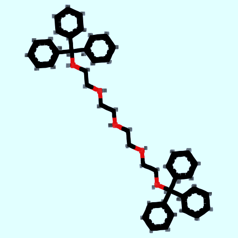 c1ccc(C(OCCOCCOCCOCCOC(c2ccccc2)(c2ccccc2)c2ccccc2)(c2ccccc2)c2ccccc2)cc1